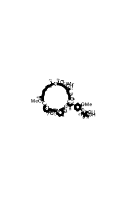 CO[C@H]1C[C@@H]2CC[C@@H](C)[C@@](O)(O2)C(=O)C(=O)N2CCCCC2C(=O)O[C@H]([C@H](C)C[C@@H]2CC[C@@H](OC(=O)C(C)(CO)CO)[C@H](OC)C2)CC(=O)[C@H](C)/C=C(\C)[C@@H](O)[C@@H](OC)C(=O)[C@H](C)C[C@H](C)/C=C/C=C/C=C/1C